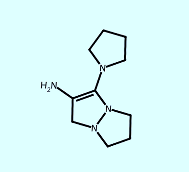 NC1=C(N2CCCC2)N2CCCN2C1